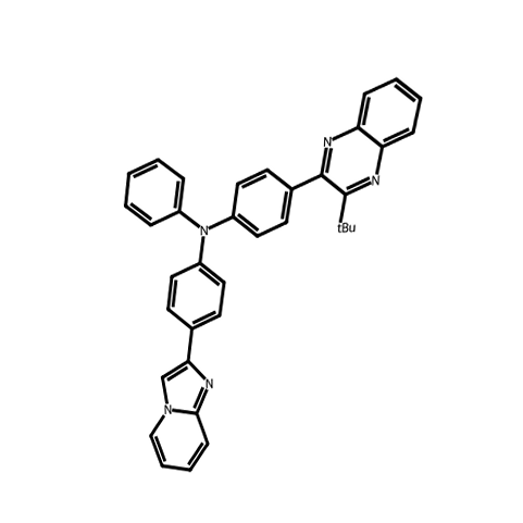 CC(C)(C)c1nc2ccccc2nc1-c1ccc(N(c2ccccc2)c2ccc(-c3cn4ccccc4n3)cc2)cc1